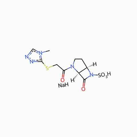 Cn1cnnc1SCC(=O)N1CC[C@@H]2[C@H]1C(=O)N2S(=O)(=O)O.[NaH]